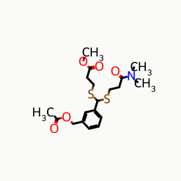 COC(=O)CCSC(SCCC(=O)N(C)C)c1cccc(COC(C)=O)c1